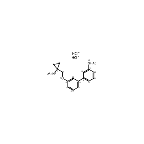 CNC1(COc2cncc(-c3cccc(NC(C)=O)c3)c2)CC1.Cl.Cl